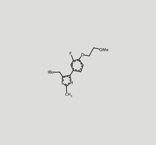 COCCOc1ccc(-c2nc(C)sc2CC(C)(C)C)cc1F